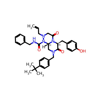 C=CCN1CC(=O)N2[C@@H](Cc3ccc(O)cc3)C(=O)N(Cc3ccc(C(C)(C)C)cc3)C[C@@H]2N1C(=O)NCc1ccccc1